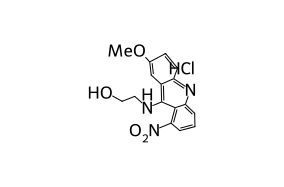 COc1ccc2nc3cccc([N+](=O)[O-])c3c(NCCO)c2c1.Cl